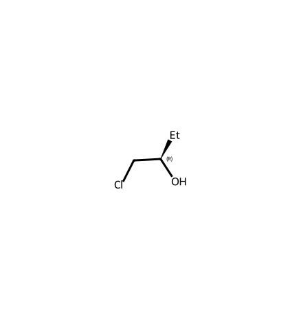 CC[C@@H](O)CCl